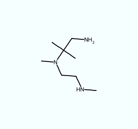 CNCCN(C)C(C)(C)CN